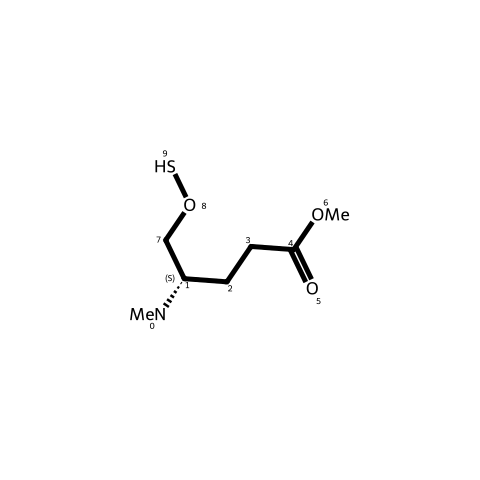 CN[C@@H](CCC(=O)OC)COS